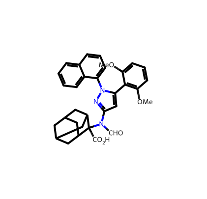 COc1cccc(OC)c1-c1cc(N(C=O)C2(C(=O)O)C3CC4CC(C3)CC2C4)nn1-c1cccc2ccccc12